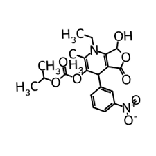 CCN1C(C)=C(OC(=O)OC(C)C)C(c2cccc([N+](=O)[O-])c2)C2=C1C(O)OC2=O